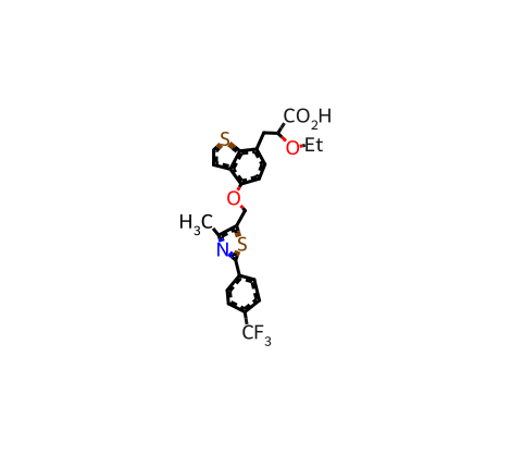 CCOC(Cc1ccc(OCc2sc(-c3ccc(C(F)(F)F)cc3)nc2C)c2ccsc12)C(=O)O